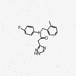 Cc1ccccc1CN(C(=O)Cc1nc[nH]n1)c1ccc(F)cc1